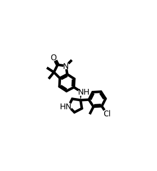 Cc1c(Cl)cccc1[C@@]1(Nc2ccc3c(c2)N(C)C(=O)C3(C)C)CCNC1